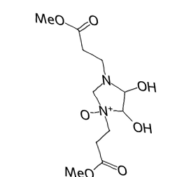 COC(=O)CCN1C[N+]([O-])(CCC(=O)OC)C(O)C1O